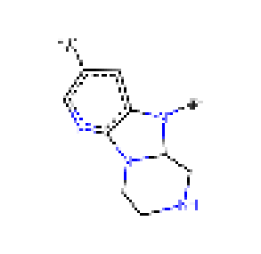 CC(C)N1c2cc(C(F)(F)F)cnc2N2CCNCC21